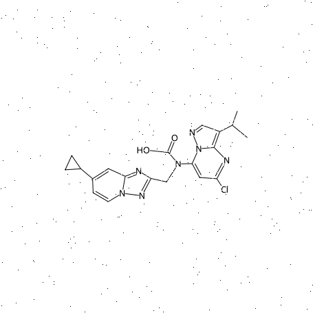 CC(C)c1cnn2c(N(Cc3nc4cc(C5CC5)ccn4n3)C(=O)O)cc(Cl)nc12